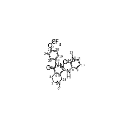 CN1CCc2c(c(Nc3cccn(C)c3=O)nn(-c3ccc(OC(F)(F)F)cc3)c2=O)C1